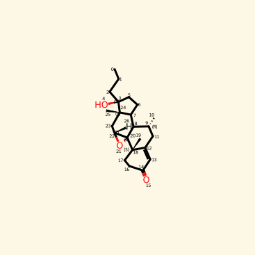 CCC[C@]1(O)CCC2C3[C@H](C)CC4=CC(=O)CC[C@]4(C)[C@]34O[C@@H]4C[C@@]21C